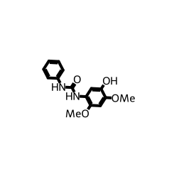 COc1cc(OC)c(NC(=O)Nc2ccccc2)cc1O